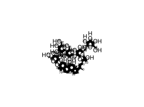 C[C@H](CC[C@@H](O[C@@H]1O[C@H](CO[C@H]2O[C@H](CO)[C@@H](O)[C@H](O)[C@H]2O)[C@@H](O)[C@H](O)[C@H]1O[C@@H]1O[C@H](CO)C([C@H]2O[C@H](CO)[C@@H](O)[C@H](O)[C@H]2O)[C@H](O)[C@H]1O)C(C)(C)O)C1CC[C@@]2(C)C3CC=C4C(CC[C@H](O[C@@H]5O[C@H](CO)[C@@H](O)[C@H](O)[C@H]5O)C4(C)C)[C@]3(C)[C@H](O)C[C@]12C